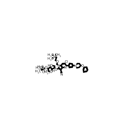 CC(C)(C)[Si](C)(C)O[C@@H]1CO[C@H]2[C@@H]1OC[C@H]2Oc1c(C#N)c2nc(-c3ccc(N4CCC(Oc5ccccc5)CC4)cc3)c(Cl)cc2n1COCC[Si](C)(C)C